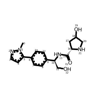 Cn1nccc1-c1ccc([C@H](CO)NC(=O)[C@@H]2CC(O)CN2)cc1